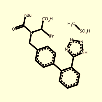 CCCCC(=O)N(Cc1ccc(-c2ccccc2-c2nnn[nH]2)cc1)C(C(=O)O)C(C)C.CS(=O)(=O)O